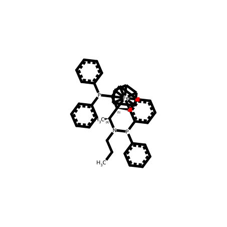 CCCN([C@H](C)[C@]12[CH]3[CH]4[CH]5[C]1(P(c1ccccc1)c1ccccc1)[Fe]45321678[CH]2[CH]1[CH]6[CH]7[CH]28)P(c1ccccc1)c1ccccc1